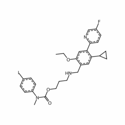 CCOc1cc(-c2ccc(F)cn2)c(C2CC2)cc1CNCCCOC(=O)N(C)c1ccc(I)cc1